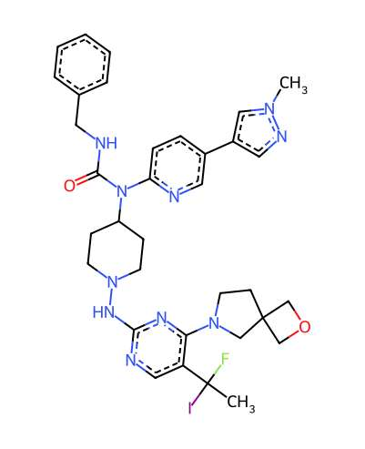 Cn1cc(-c2ccc(N(C(=O)NCc3ccccc3)C3CCN(Nc4ncc(C(C)(F)I)c(N5CCC6(COC6)C5)n4)CC3)nc2)cn1